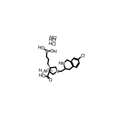 Cl.Cl.Cl.N[C@@]1(C(=O)O)CN(CC2Cc3ccc(Cl)cc3CN2)C[C@@H]1CCCB(O)O